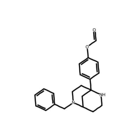 O=COc1ccc(C23CCN(Cc4ccccc4)C(CCN2)C3)cc1